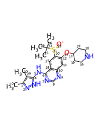 Cc1n[nH]c(Nc2ncnc3cc(OC4CCNCC4)c([S+]([O-])C(C)(C)C)cc23)c1C